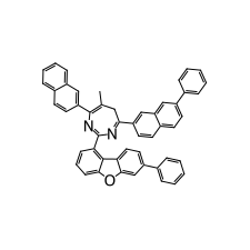 CC1=C(c2ccc3ccccc3c2)N=C(c2cccc3oc4cc(-c5ccccc5)ccc4c23)N=C(c2ccc3ccc(-c4ccccc4)cc3c2)C1